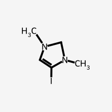 CN1C=C(I)N(C)C1